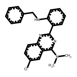 CN(C)c1nc(-c2ccccc2NCc2ccccc2)nc2ccc(Cl)cc12